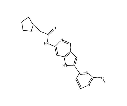 COc1nccc(-c2cc3cnc(NC(=O)C4C5CCCC54)cc3[nH]2)n1